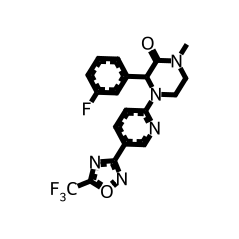 CN1CCN(c2ccc(-c3noc(C(F)(F)F)n3)cn2)C(c2cccc(F)c2)C1=O